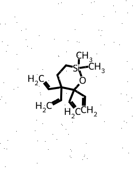 C=CC1(C=C)CC[Si](C)(C)OC1(C=C)C=C